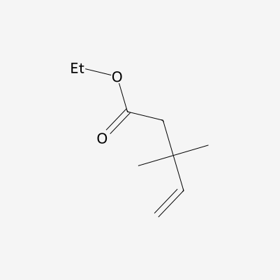 C=CC(C)(C)CC(=O)OCC